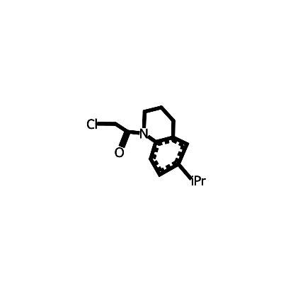 CC(C)c1ccc2c(c1)CCCN2C(=O)CCl